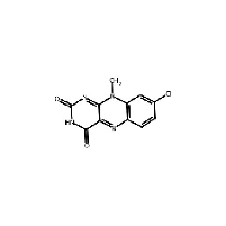 Cn1c2nc(=O)[nH]c(=O)c-2nc2ccc(Cl)cc21